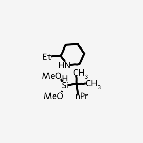 CCC1CCCCN1.CCCC(C)(C)[SiH](OC)OC